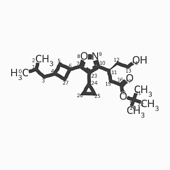 CC(C)CC1CC(c2onc([C@@H](CCO)CC(=O)OC(C)(C)C)c2C2CC2)C1